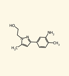 Cc1ccc(-c2cc(C)n(CCO)n2)cc1N